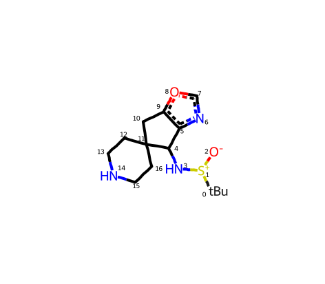 CC(C)(C)[S+]([O-])NC1c2ncoc2CC12CCNCC2